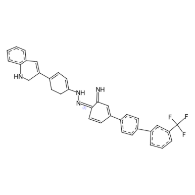 N=C1C=C(c2ccc(-c3cccc(C(F)(F)F)c3)cc2)C=C/C1=N/NC1=CC=C(C2=Cc3ccccc3NC2)CC1